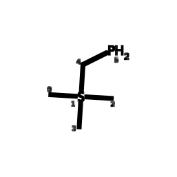 CS(C)(C)CP